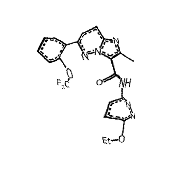 CCOc1ccc(NC(=O)c2c(C)nc3ccc(-c4ccccc4OC(F)(F)F)nn23)nn1